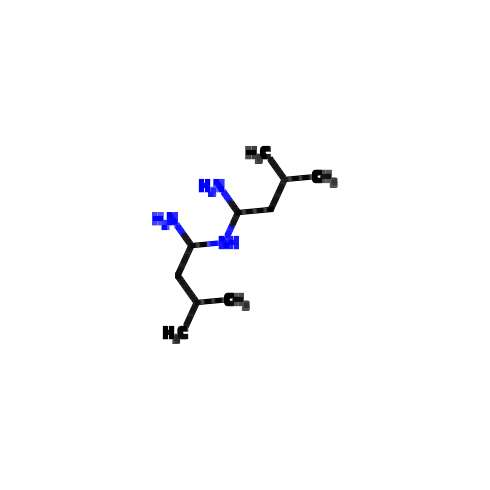 CC(C)CC(N)NC(N)CC(C)C